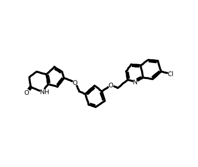 O=C1CCc2ccc(OCc3cccc(OCc4ccc5ccc(Cl)cc5n4)c3)cc2N1